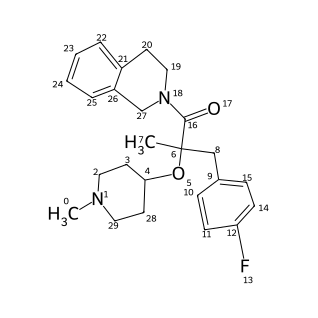 CN1CCC(OC(C)(Cc2ccc(F)cc2)C(=O)N2CCc3ccccc3C2)CC1